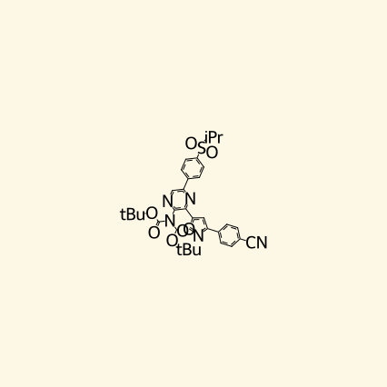 CC(C)S(=O)(=O)c1ccc(-c2cnc(N(C(=O)OC(C)(C)C)C(=O)OC(C)(C)C)c(-c3cc(-c4ccc(C#N)cc4)no3)n2)cc1